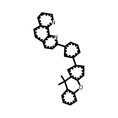 CC1(C)c2ccccc2Oc2ccc(-c3cccc(-c4ccc5ccc6cccnc6c5n4)c3)cc21